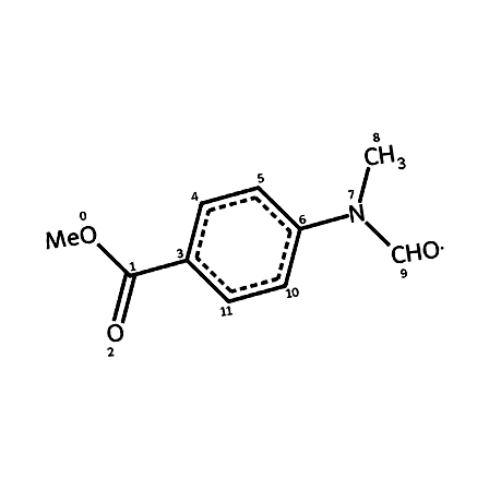 COC(=O)c1ccc(N(C)[C]=O)cc1